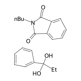 CCC(O)(O)c1ccccc1.CCCCN1C(=O)c2ccccc2C1=O